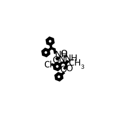 CC1=C(C(=O)OCc2ccccc2)C(c2cccc(Cl)c2)N(C(=O)NCCC(c2ccccc2)c2ccccc2)C(=O)N1